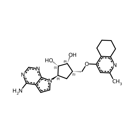 Cc1cc(OC[C@@H]2C[C@@H](n3ccc4c(N)ncnc43)[C@H](O)[C@@H]2O)c2c(n1)CCCC2